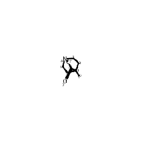 [CH2]C12CCN(CC1)CC2=O